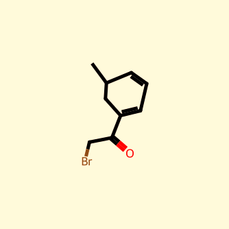 CC1C=CC=C(C(=O)CBr)C1